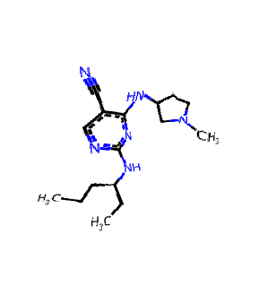 CCC[C@H](CC)Nc1ncc(C#N)c(NC2CCN(C)C2)n1